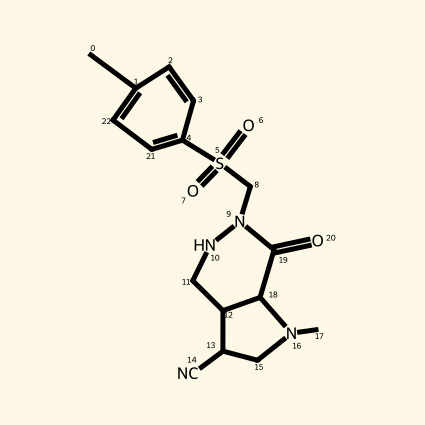 Cc1ccc(S(=O)(=O)CN2NCC3C(C#N)CN(C)C3C2=O)cc1